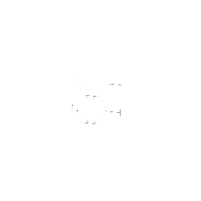 [CH2]Cc1c(F)ccnc1F